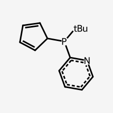 CC(C)(C)P(c1ccccn1)C1C=CC=C1